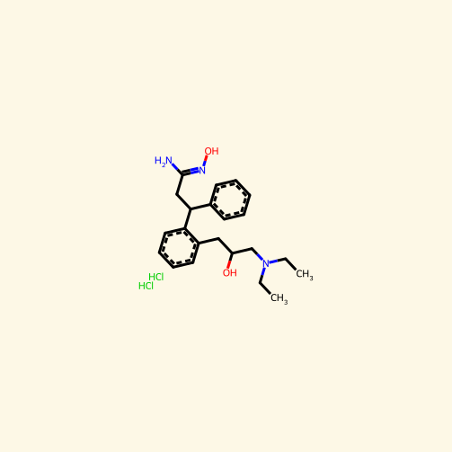 CCN(CC)CC(O)Cc1ccccc1C(CC(N)=NO)c1ccccc1.Cl.Cl